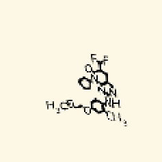 COCCOc1ccc(Nc2ncc3cc(C(F)F)c(=O)n(C4CCCC4)c3n2)c(C)c1